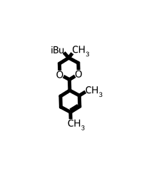 CCC(C)C1(C)COC(C2CCC(C)=CC2C)OC1